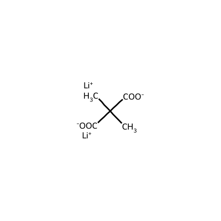 CC(C)(C(=O)[O-])C(=O)[O-].[Li+].[Li+]